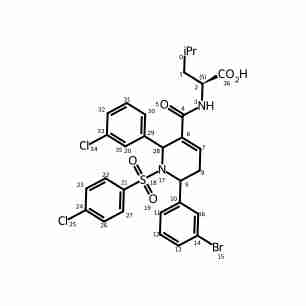 CC(C)C[C@H](NC(=O)C1=CCC(c2cccc(Br)c2)N(S(=O)(=O)c2ccc(Cl)cc2)C1c1cccc(Cl)c1)C(=O)O